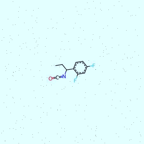 CCC(N=C=O)c1ccc(F)cc1F